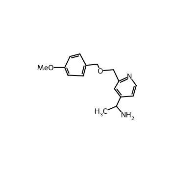 COc1ccc(COCc2cc(C(C)N)ccn2)cc1